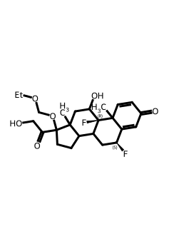 CCOCOC1(C(=O)CO)CCC2C3C[C@H](F)C4=CC(=O)C=CC4(C)[C@@]3(F)C(O)CC21C